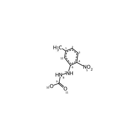 Cc1ccc([N+](=O)[O-])c(NNC([O])=O)c1